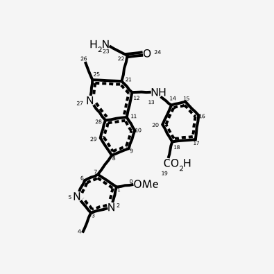 COc1nc(C)ncc1-c1ccc2c(Nc3cccc(C(=O)O)c3)c(C(N)=O)c(C)nc2c1